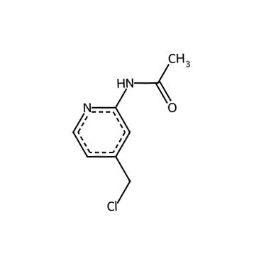 CC(=O)Nc1cc(CCl)ccn1